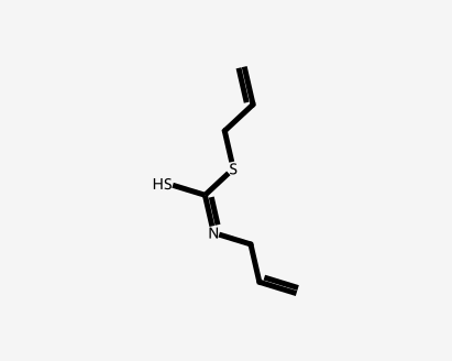 C=CCN=C(S)SCC=C